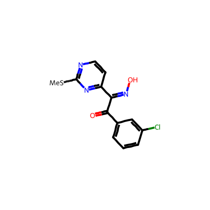 CSc1nccc(/C(=N\O)C(=O)c2cccc(Cl)c2)n1